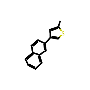 Cc1cc(-c2ccc3ccccc3c2)cs1